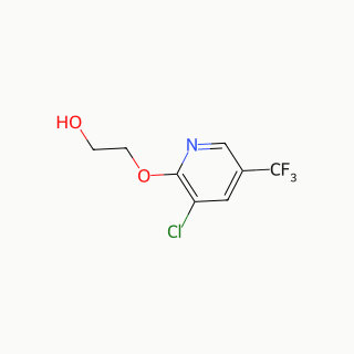 OCCOc1ncc(C(F)(F)F)cc1Cl